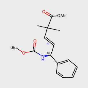 COC(=O)C(C)(C)/C=C/[C@H](NC(=O)OC(C)(C)C)c1ccccc1